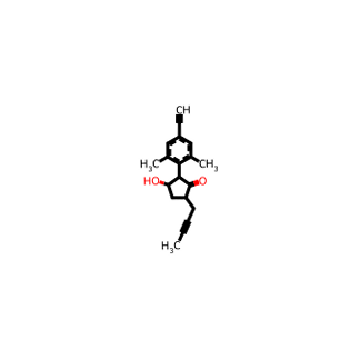 C#Cc1cc(C)c(C2C(=O)C(CC#CC)CC2O)c(C)c1